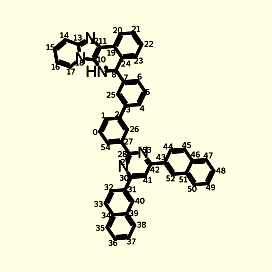 c1cc(-c2cccc(C3Nc4c(nc5ccccn45)-c4ccccc43)c2)cc(-c2nc(-c3ccc4ccccc4c3)cc(-c3ccc4ccccc4c3)n2)c1